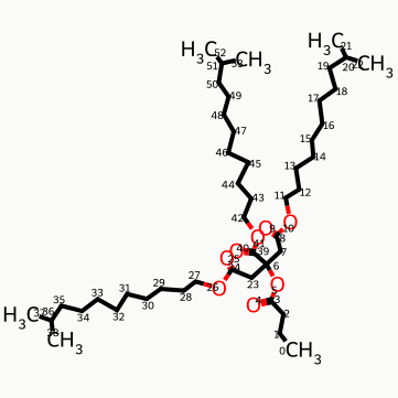 CCCC(=O)OC(CC(=O)OCCCCCCCCCC(C)C)(CC(=O)OCCCCCCCCCC(C)C)C(=O)OCCCCCCCCCC(C)C